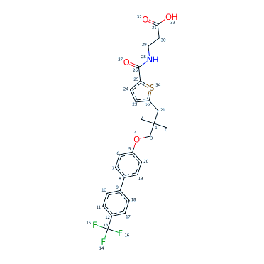 CC(C)(COc1ccc(-c2ccc(C(F)(F)F)cc2)cc1)Cc1ccc(C(=O)NCCC(=O)O)s1